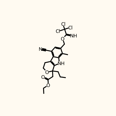 CCCC1(CC(=O)OCC)OCCc2c1[nH]c1c(C)c(COC(=N)C(Cl)(Cl)Cl)cc(C#N)c21